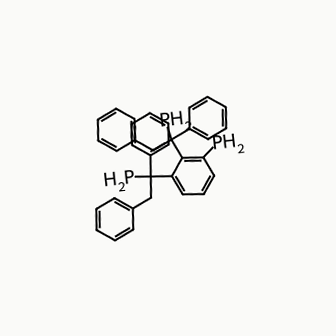 Pc1cccc(C(P)(Cc2ccccc2)c2ccccc2)c1C(P)(Cc1ccccc1)c1ccccc1